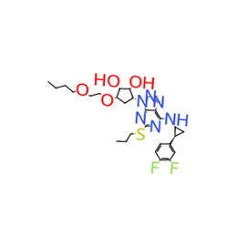 CCCCOCCO[C@H]1C[C@@H](n2nnc3c(N[C@@H]4C[C@H]4c4ccc(F)c(F)c4)nc(SCCC)nc32)[C@H](O)[C@@H]1O